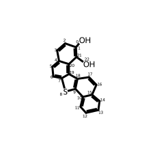 Oc1ccc2ccc3sc4c5ccccc5ccc4c3c2c1O